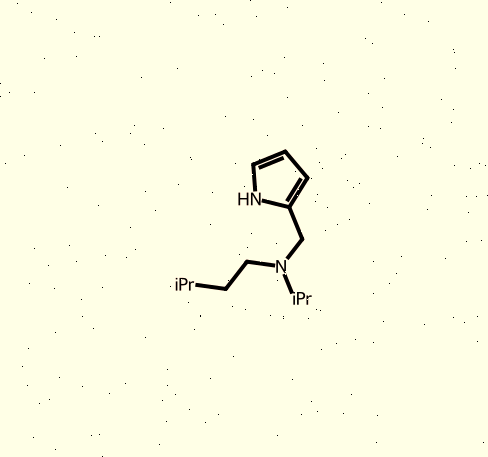 CC(C)CCN(Cc1ccc[nH]1)C(C)C